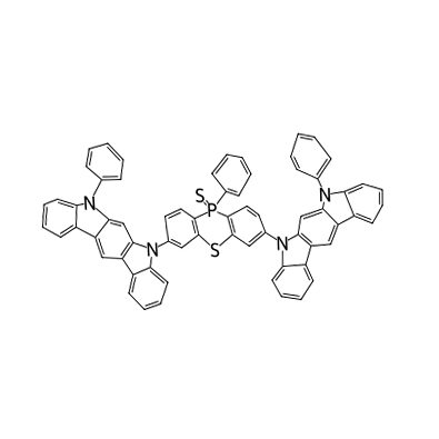 S=P1(c2ccccc2)c2ccc(-n3c4ccccc4c4cc5c6ccccc6n(-c6ccccc6)c5cc43)cc2Sc2cc(-n3c4ccccc4c4cc5c6ccccc6n(-c6ccccc6)c5cc43)ccc21